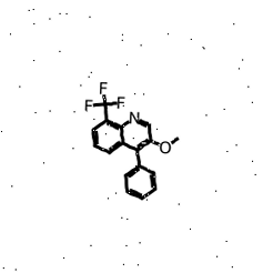 COc1cnc2c(C(F)(F)F)cccc2c1-c1ccccc1